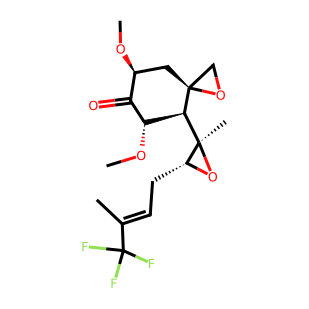 CO[C@H]1C[C@]2(CO2)[C@@H]([C@@]2(C)O[C@@H]2C/C=C(\C)C(F)(F)F)[C@H](OC)C1=O